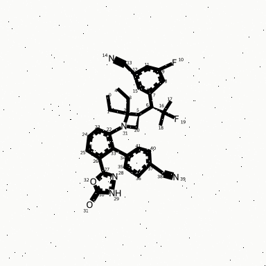 CCC1(CC)[C@@H]([C@@H](c2cc(F)cc(C#N)c2)C(C)(C)F)CN1c1cccc(-c2n[nH]c(=O)o2)c1-c1ccc(C#N)cc1